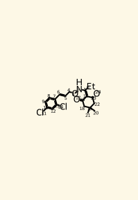 CCC(NOCC=Cc1ccc(Cl)cc1Cl)=C1C(=O)CC(C)(C)CC1=O